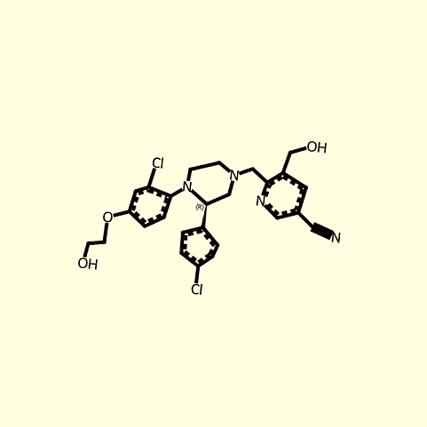 N#Cc1cnc(CN2CCN(c3ccc(OCCO)cc3Cl)[C@H](c3ccc(Cl)cc3)C2)c(CO)c1